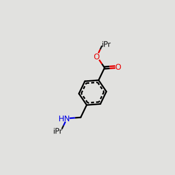 CC(C)NCc1ccc(C(=O)OC(C)C)cc1